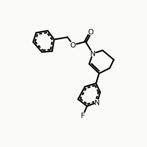 O=C(OCc1ccccc1)N1C=C(c2ccc(F)nc2)CCC1